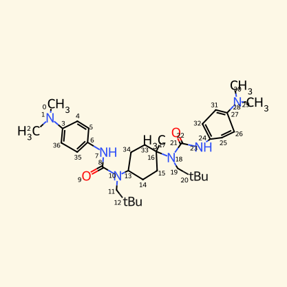 CN(C)c1ccc(NC(=O)N(CC(C)(C)C)C2CCC(C)(N(CC(C)(C)C)C(=O)Nc3ccc(N(C)C)cc3)CC2)cc1